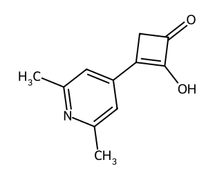 Cc1cc(C2=C(O)C(=O)C2)cc(C)n1